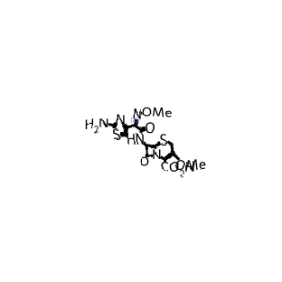 COCC1=C(C(=O)O)N2C(=O)C(NC(=O)/C(=N\OC)c3csc(N)n3)C2SC1